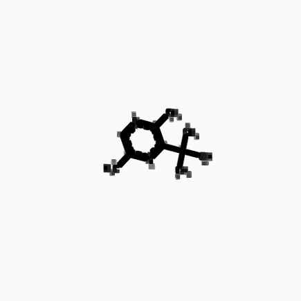 Cc1cnc(C)c(C(C)(C)O)n1